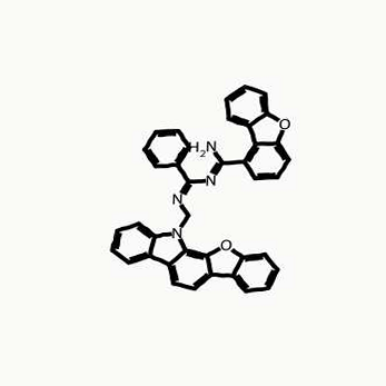 N/C(=N\C(=N/Cn1c2ccccc2c2ccc3c4ccccc4oc3c21)c1ccccc1)c1cccc2oc3ccccc3c12